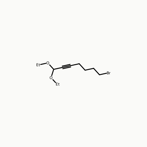 CCOC(C#CCCCCBr)OCC